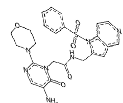 Nc1cnc(N2CCOCC2)n(CC(=O)NCc2cc3cnccc3n2S(=O)(=O)c2ccccc2)c1=O